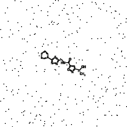 C[C@@H](O)c1cc(C(=O)NCc2nnc(-c3ccccc3)s2)on1